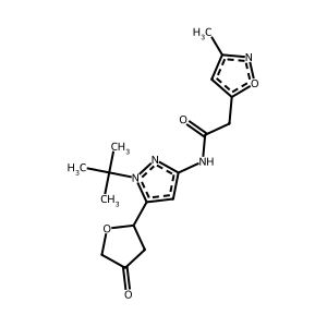 Cc1cc(CC(=O)Nc2cc(C3CC(=O)CO3)n(C(C)(C)C)n2)on1